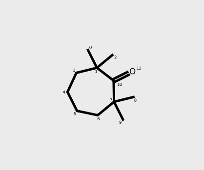 CC1(C)CCCCC(C)(C)C1=O